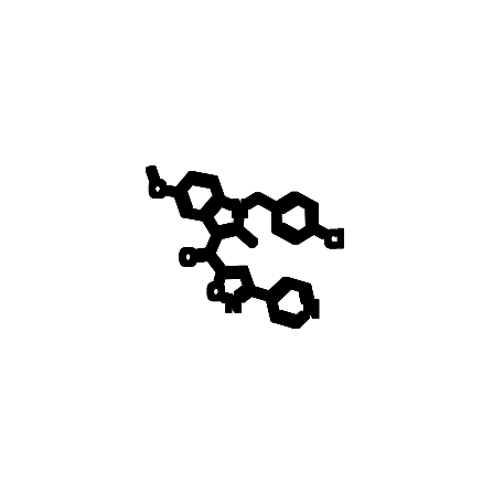 COc1ccc2c(c1)c(C(=O)c1cc(-c3ccncc3)no1)c(C)n2Cc1ccc(Cl)cc1